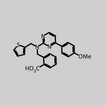 COc1ccc(-c2ccnc(N(Cc3cccs3)Cc3ccccc3C(=O)O)n2)cc1